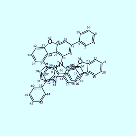 c1ccc(-c2cc(-n3c4ccccc4c4ccc5c6ccccc6oc5c43)c3c(c2)oc2cccc(-c4nc(-c5ccccc5)nc(-c5ccccc5)n4)c23)cc1